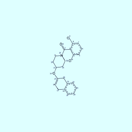 O=C(c1c(Cl)cccc1Cl)N1CCC(OC2=CCc3ccccc3[CH]2)CC1